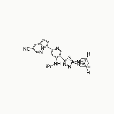 CC(=O)N[C@H]1[C@@H]2C[C@H]1CN(c1nnc(-c3cnc(-c4ccc5cc(C#N)cnn45)cc3NC(C)C)s1)C2